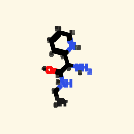 CC(C)CNC(=O)C(N)c1ccccn1